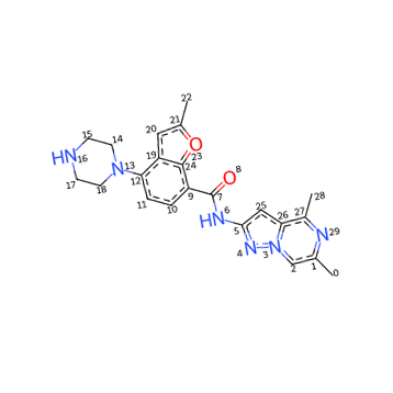 Cc1cn2nc(NC(=O)c3ccc(N4CCNCC4)c4cc(C)oc34)cc2c(C)n1